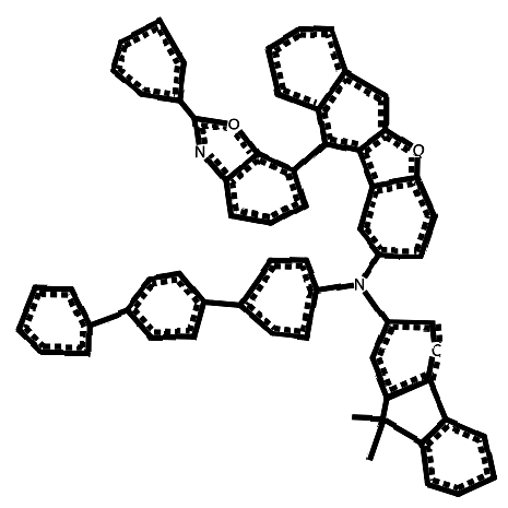 CC1(C)c2ccccc2-c2ccc(N(c3ccc(-c4ccc(-c5ccccc5)cc4)cc3)c3ccc4oc5cc6ccccc6c(-c6cccc7nc(-c8ccccc8)oc67)c5c4c3)cc21